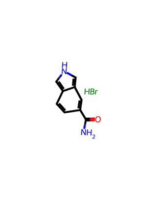 Br.NC(=O)c1ccc2c[nH]cc2c1